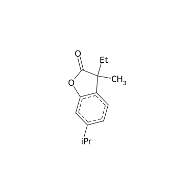 CCC1(C)C(=O)Oc2cc(C(C)C)ccc21